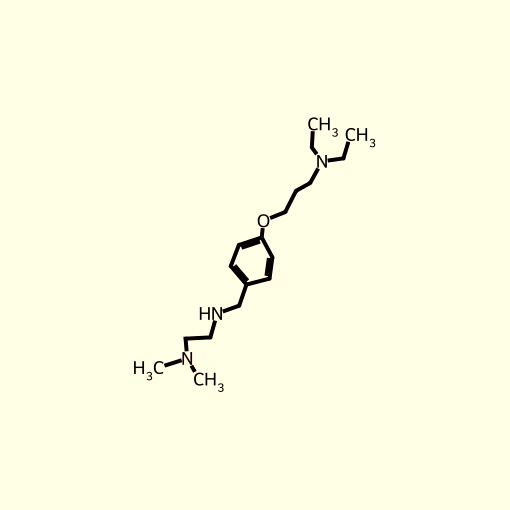 CCN(CC)CCCOc1ccc(CNCCN(C)C)cc1